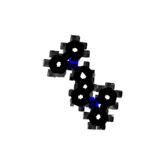 C1=CC2Cc3c(cccc3-n3c4ccccc4c4ccccc43)C2C=C1n1c2ccccc2c2ccccc21